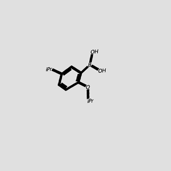 CC(C)Oc1ccc(C(C)C)cc1B(O)O